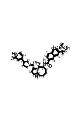 O=C(N[C@H]1CCCC[C@H]2CC[C@@H](C(=O)N3CCC(c4cc[nH]c(=O)c4)C3)N2C1=O)c1ccc2ccc(C(F)(F)P(=O)(O)O)cc2c1